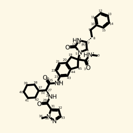 CNC(=O)C1(N2C[C@@H](CCc3ccccc3)NC2=O)Cc2ccc(NC(=O)[C@@H](NC(=O)c3ccnn3C)C3CCCCC3)cc2C1